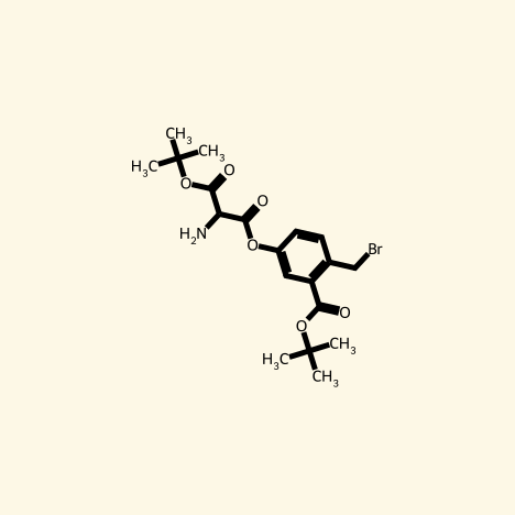 CC(C)(C)OC(=O)c1cc(OC(=O)C(N)C(=O)OC(C)(C)C)ccc1CBr